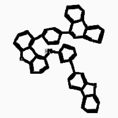 c1cc(Nc2cccc3oc4cccc(-c5ccc(-c6cc7ccccc7c7ccccc67)cc5)c4c23)cc(-c2ccc3c(c2)sc2ccccc23)c1